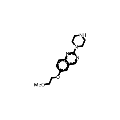 COCCOc1ccc2nc(N3CCNCC3)ncc2c1